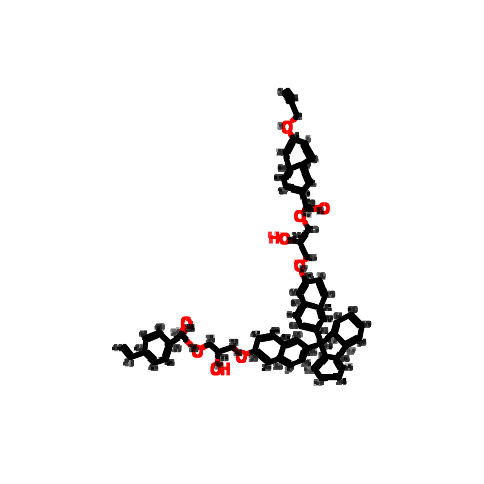 C#CCOc1ccc2cc(C(=O)OCC(O)COc3ccc4cc(C5(c6ccc7cc(OCC(O)COC(=O)c8ccc(C=C)cc8)ccc7c6)c6ccccc6-c6ccccc65)ccc4c3)ccc2c1